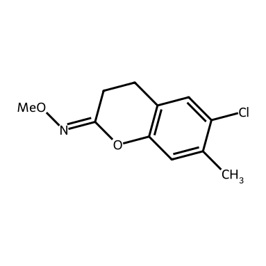 CON=C1CCc2cc(Cl)c(C)cc2O1